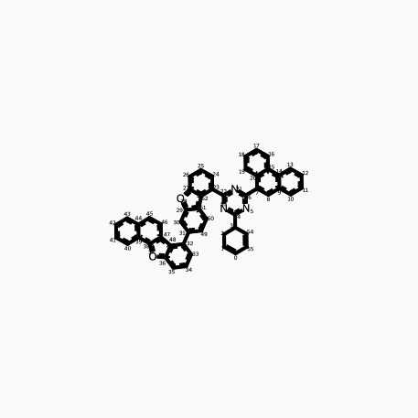 C1=CCC(c2nc(-c3cc4ccccc4c4ccccc34)nc(-c3cccc4oc5cc(-c6cccc7oc8c9ccccc9ccc8c67)ccc5c34)n2)C=C1